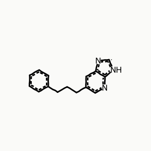 [c]1nc2cc(CCCc3ccccc3)cnc2[nH]1